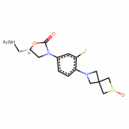 CC(=O)NC[C@H]1CN(c2ccc(N3CC4(C3)C[S+]([O-])C4)c(F)c2)C(=O)O1